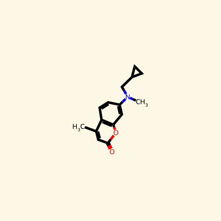 Cc1cc(=O)oc2cc(N(C)CC3CC3)ccc12